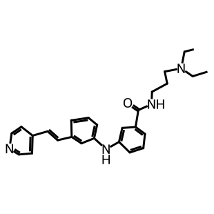 CCN(CC)CCCNC(=O)c1cccc(Nc2cccc(C=Cc3ccncc3)c2)c1